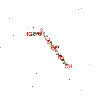 O=C(CSCCOOCSCOC(=O)CSCCOOCSCCO)OCSCCO